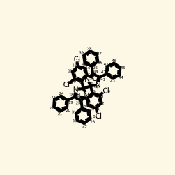 Clc1cc(Cl)c(C2(C3(c4c(Cl)cc(Cl)cc4Cl)N=C(c4ccccc4)C(c4ccccc4)=N3)N=C(c3ccccc3)C(c3ccccc3)=N2)c(Cl)c1